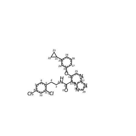 O=C(NCCc1ccc(Cl)cc1Cl)c1c(Oc2cccc(C3CC3)c2)cnc2ncnn12